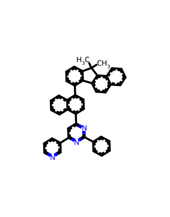 CC1(C)c2cccc(-c3ccc(-c4cc(-c5cccnc5)nc(-c5ccccc5)n4)c4ccccc34)c2-c2ccc3ccccc3c21